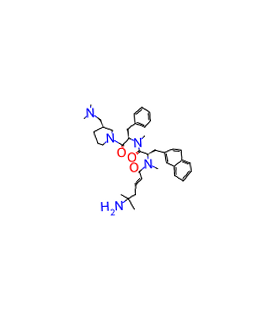 CN(C)C[C@@H]1CCCN(C(=O)[C@@H](Cc2ccccc2)N(C)C(=O)[C@@H](Cc2ccc3ccccc3c2)N(C)C(=O)C=CCC(C)(C)N)C1